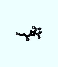 O=[N+]([O-])C1([N+](=O)[O-])CN(C(O)CCBr)C1